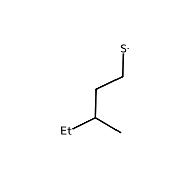 CCC(C)CC[S]